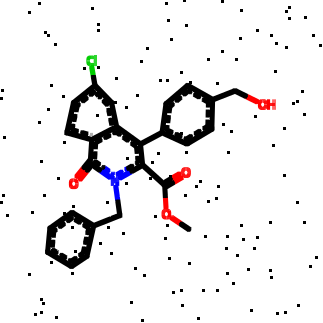 COC(=O)c1c(-c2ccc(CO)cc2)c2cc(Cl)ccc2c(=O)n1Cc1ccccc1